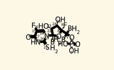 BC(B)(OP(=O)(O)O)[C@@]1(F)O[C@@](B)(n2cc(F)c(=O)[nH]c2=S)[C@H](O)[C@@H]1O